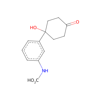 O=C1CCC(O)(c2cccc(NC(=O)O)c2)CC1